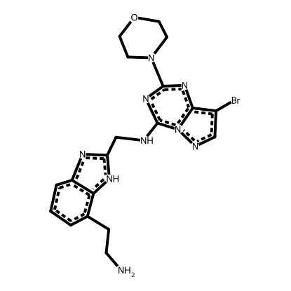 NCCc1cccc2nc(CNc3nc(N4CCOCC4)nc4c(Br)cnn34)[nH]c12